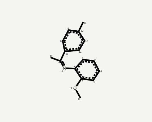 COc1ccccc1/N=C(/C)c1ccc(C)cc1